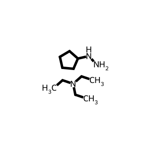 CCN(CC)CC.NNC1CCCC1